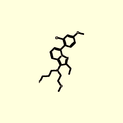 CCc1nn2c(-c3ccc(OC)cc3Cl)cccc2c1N(CCCF)CCOC